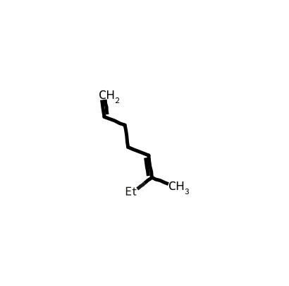 C=CCC/C=C(/C)CC